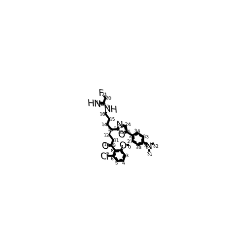 COc1cccc(Cl)c1C(=O)CC[C@@H](CCCNC(=N)CF)c1ncc(-c2ccc(N(C)C)cc2)o1